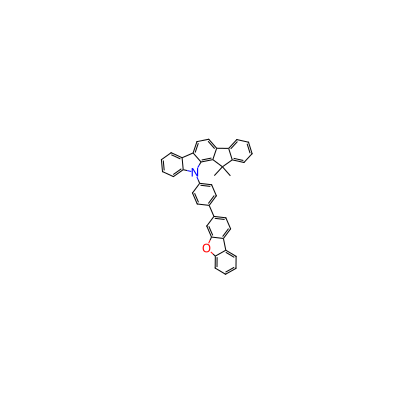 CC1(C)c2ccccc2-c2ccc3c4ccccc4n(-c4ccc(-c5ccc6c(c5)oc5ccccc56)cc4)c3c21